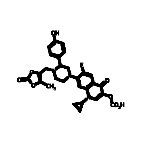 Cc1oc(=O)oc1CN1CCN(c2cc3c(cc2F)c(=O)c(OC(=O)O)cn3C2CC2)CC1c1ccc(O)cc1